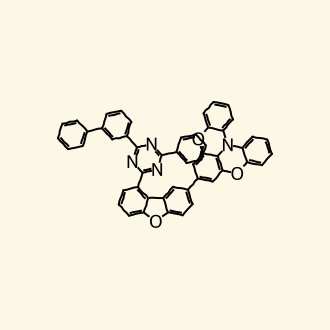 c1ccc(-c2cccc(-c3nc(-c4ccccc4)nc(-c4cccc5oc6ccc(-c7cc8c9c(c7)Oc7ccccc7N9c7ccccc7O8)cc6c45)n3)c2)cc1